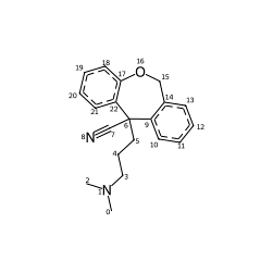 CN(C)CCCC1(C#N)c2ccccc2COc2ccccc21